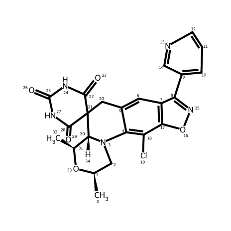 C[C@@H]1CN2c3c(cc4c(-c5cccnc5)noc4c3Cl)CC3(C(=O)NC(=O)NC3=O)[C@H]2[C@H](C)O1